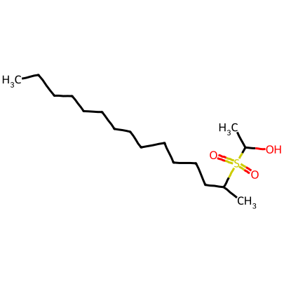 CCCCCCCCCCCCCC(C)S(=O)(=O)C(C)O